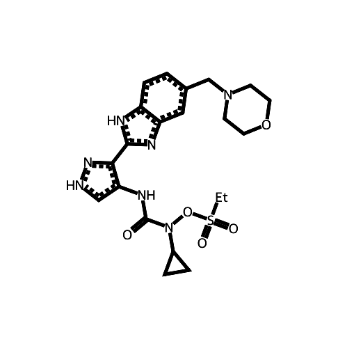 CCS(=O)(=O)ON(C(=O)Nc1c[nH]nc1-c1nc2cc(CN3CCOCC3)ccc2[nH]1)C1CC1